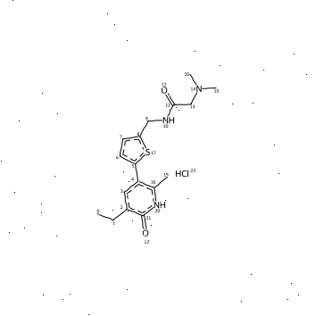 CCc1cc(-c2ccc(CNC(=O)CN(C)C)s2)c(C)[nH]c1=O.Cl